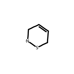 C1=CCS[N]C1